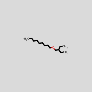 [CH2]CCCCCCCCOCC(CC)CC